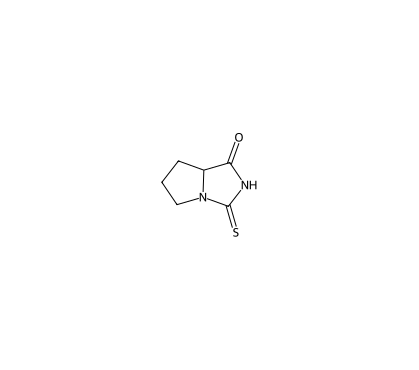 O=C1NC(=S)N2CCCC12